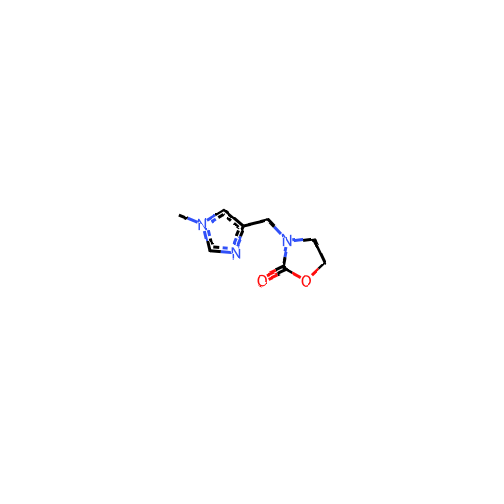 Cn1cnc(CN2CCOC2=O)c1